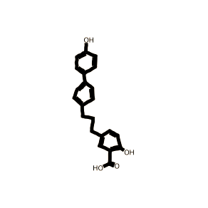 O=C(O)c1cc(CCCc2ccc(-c3ccc(O)cc3)cc2)ccc1O